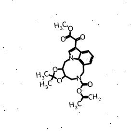 C=C(C)OC(=O)N1Cc2cccc3c(C(=O)C(=O)OC)cn(c23)CC2OC(C)(C)OC2C1